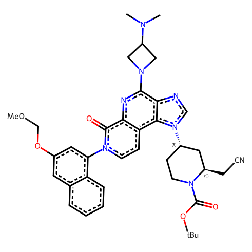 COCOc1cc(-n2ccc3c(nc(N4CC(N(C)C)C4)c4ncn([C@H]5CCN(C(=O)OC(C)(C)C)[C@H](CC#N)C5)c43)c2=O)c2ccccc2c1